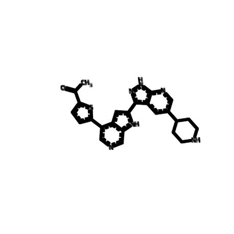 CC(=O)c1ccc(-c2cncc3[nH]c(-c4n[nH]c5ncc(C6CCNCC6)cc45)cc23)s1